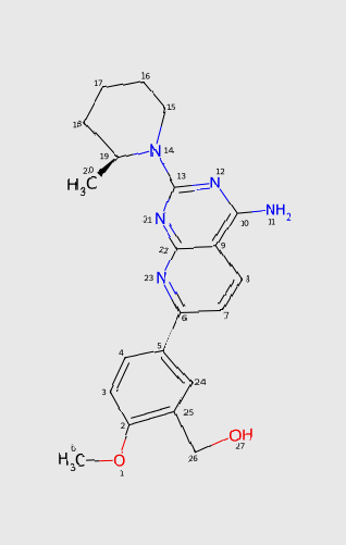 COc1ccc(-c2ccc3c(N)nc(N4CCCC[C@@H]4C)nc3n2)cc1CO